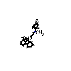 C/C(=C\CCO[Si](c1ccccc1)(c1ccccc1)C(C)(C)C)c1ncc(F)cn1